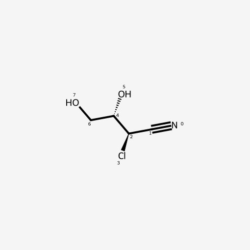 N#C[C@@H](Cl)[C@@H](O)CO